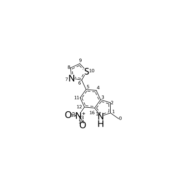 Cc1cc2cc(-c3nccs3)cc([N+](=O)[O-])c2[nH]1